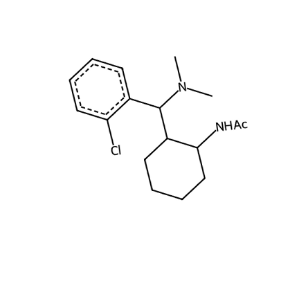 CC(=O)NC1CCCCC1C(c1ccccc1Cl)N(C)C